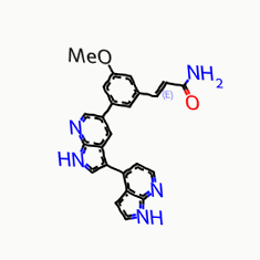 COc1cc(/C=C/C(N)=O)cc(-c2cnc3[nH]cc(-c4ccnc5[nH]ccc45)c3c2)c1